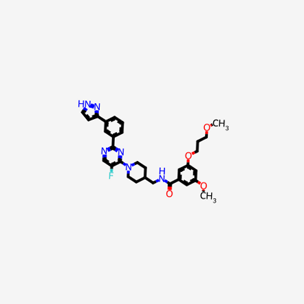 COCCCOc1cc(OC)cc(C(=O)NCC2CCN(c3nc(-c4cccc(-c5cc[nH]n5)c4)ncc3F)CC2)c1